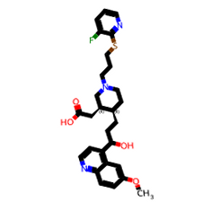 COc1ccc2nccc(C(O)CC[C@@H]3CCN(CCCSc4ncccc4F)C[C@@H]3CC(=O)O)c2c1